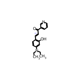 CCN(CC)c1ccc(/C=C/C(=O)c2cccnc2)c(O)c1